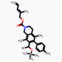 C=C/C=C(\C)COC(=O)N1CCc2c(C)c(-c3ccc(C)cc3)c(C(C#N)O[Si](C)(C)C)c(C)c2C1